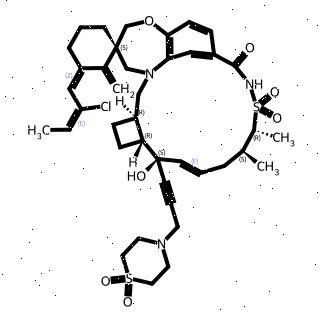 C=C1/C(=C\C(Cl)=C/C)CCC[C@]12COc1ccc3cc1N(C[C@@H]1CC[C@H]1[C@@](O)(C#CCN1CCS(=O)(=O)CC1)/C=C/C[C@H](C)[C@@H](C)S(=O)(=O)NC3=O)C2